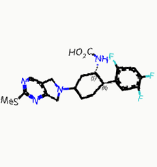 CSc1ncc2c(n1)CN(C1CC[C@H](c3cc(F)c(F)cc3F)[C@@H](NC(=O)O)C1)C2